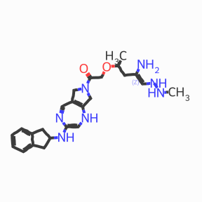 CNN/C=C(\N)CC(C)OCC(=O)N1CC2=C(C1)NC=C(NC1Cc3ccccc3C1)N=C2